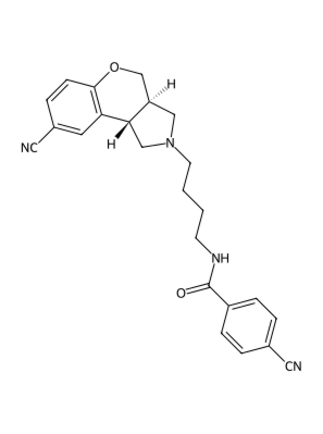 N#Cc1ccc(C(=O)NCCCCN2C[C@@H]3COc4ccc(C#N)cc4[C@H]3C2)cc1